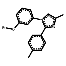 CCOc1cccc(-n2cc(C)nc2-c2ccc(C)cc2)c1